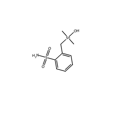 [CH3][Sn]([CH3])([OH])[CH2]c1ccccc1S(N)(=O)=O